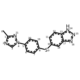 Cc1ncn(-c2ccc(Sc3ccc4[nH]nnc4c3)cc2)n1